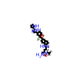 CON[C@H](C[C@@H](CCCN)c1nc2ccc3cc(-c4oc5ccc(C6CN=C([C@@H]7CCCN7)N6)cc5c4F)ccc3c2[nH]1)C(C)C